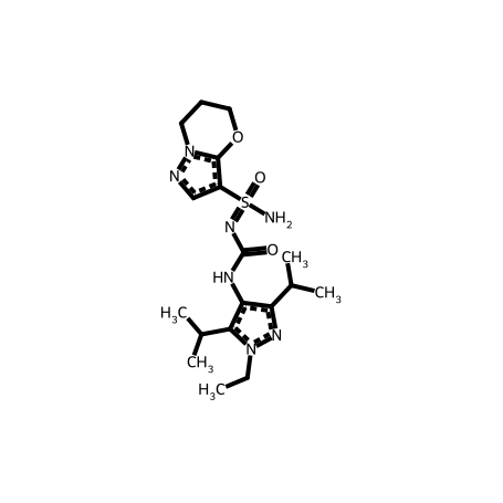 CCn1nc(C(C)C)c(NC(=O)N=S(N)(=O)c2cnn3c2OCCC3)c1C(C)C